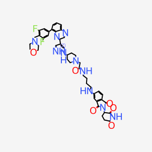 N=C/C(=C\NC1CCN(CC(=O)NCCCCNc2ccc3c(c2)C(=O)N(C2CCC(=O)NC2=O)C3=O)CC1)c1cnc2cccc(-c3cc(F)c(CN4CCOCC4)c(F)c3)c2n1